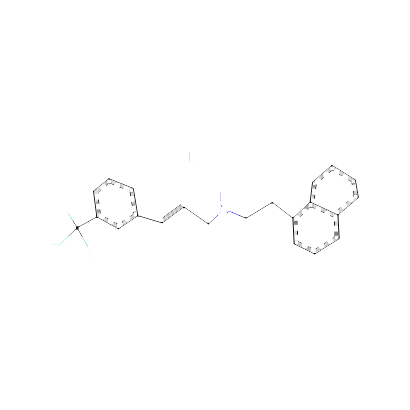 Cl.FC(F)(F)c1cccc(C=CCNCCc2cccc3ccccc23)c1